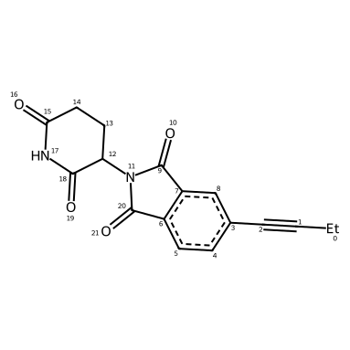 CCC#Cc1ccc2c(c1)C(=O)N(C1CCC(=O)NC1=O)C2=O